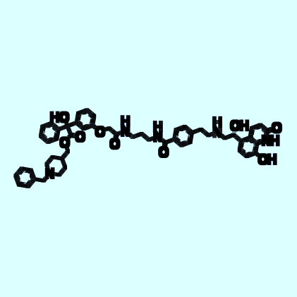 O=C(COc1cccc(C(O)(C(=O)OCC2CCN(Cc3ccccc3)CC2)c2ccccc2)c1)NCCCNC(=O)c1ccc(CCNC[C@H](O)c2ccc(O)c3[nH]c(=O)ccc23)cc1